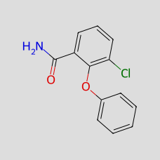 NC(=O)c1cccc(Cl)c1Oc1ccccc1